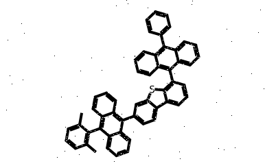 Cc1cccc(C)c1-c1c2ccccc2c(-c2ccc3c(c2)sc2c(-c4c5ccccc5c(-c5ccccc5)c5ccccc45)cccc23)c2ccccc12